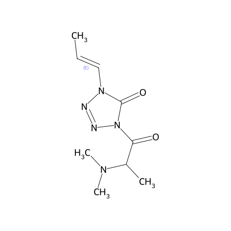 C/C=C/n1nnn(C(=O)C(C)N(C)C)c1=O